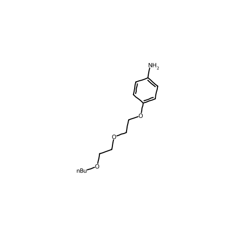 CCCCOCCOCCOc1ccc(N)cc1